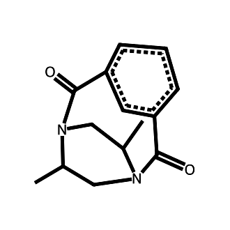 CC1CN2C(=O)c3cccc(c3)C(=O)N1CC2C